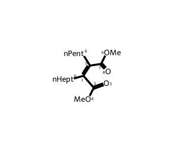 CCCCCCC/C(C(=O)OC)=C(\CCCCC)C(=O)OC